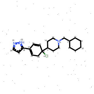 ClC1(C2CCN(CC3CCCCC3)CC2)C=CC(c2ccn[nH]2)=CC1